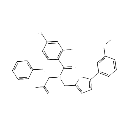 COc1cccc(-c2ccc(CN(C(=O)c3ccc(Cl)cc3Cl)[C@@H](Cc3ccccc3)C(=O)O)s2)c1